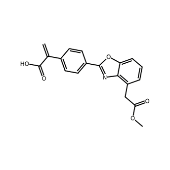 C=C(C(=O)O)c1ccc(-c2nc3c(CC(=O)OC)cccc3o2)cc1